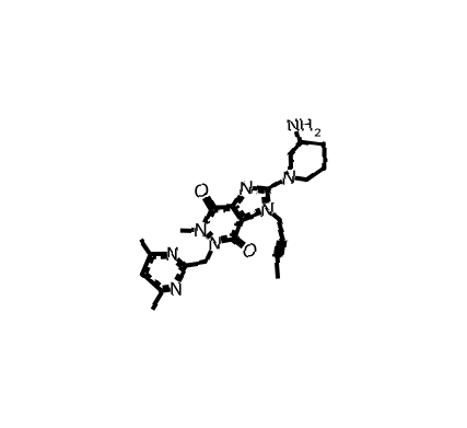 CC#CCn1c(N2CCCC(N)C2)nc2c(=O)n(C)n(Cc3nc(C)cc(C)n3)c(=O)c21